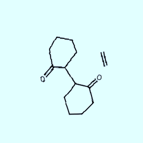 C=C.O=C1CCCCC1C1CCCCC1=O